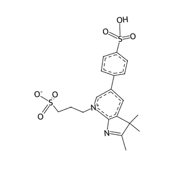 CC1=Nc2c(cc(-c3ccc(S(=O)(=O)O)cc3)c[n+]2CCCS(=O)(=O)[O-])C1(C)C